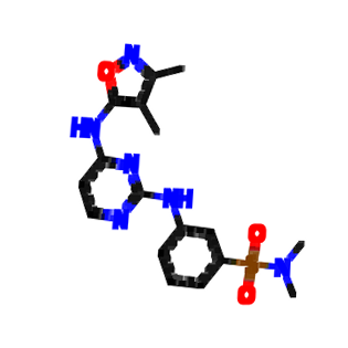 Cc1noc(Nc2ccnc(Nc3cccc(S(=O)(=O)N(C)C)c3)n2)c1C